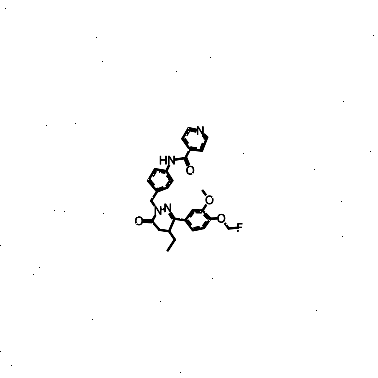 CCC1CC(=O)N(Cc2ccc(NC(=O)c3ccncc3)cc2)N=C1c1ccc(OCF)c(OC)c1